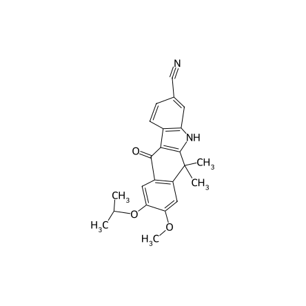 COc1cc2c(cc1OC(C)C)C(=O)c1c([nH]c3cc(C#N)ccc13)C2(C)C